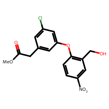 COC(=O)Cc1cc(Cl)cc(Oc2ccc([N+](=O)[O-])cc2CO)c1